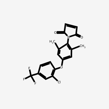 Cc1cc(Oc2ccc(C(F)(F)F)cc2Cl)cc(C)c1N1C(=O)C=CC1=O